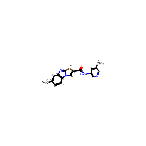 COc1cncc(NC(=O)c2cn3c(nc4cc(OC)ccc43)s2)c1